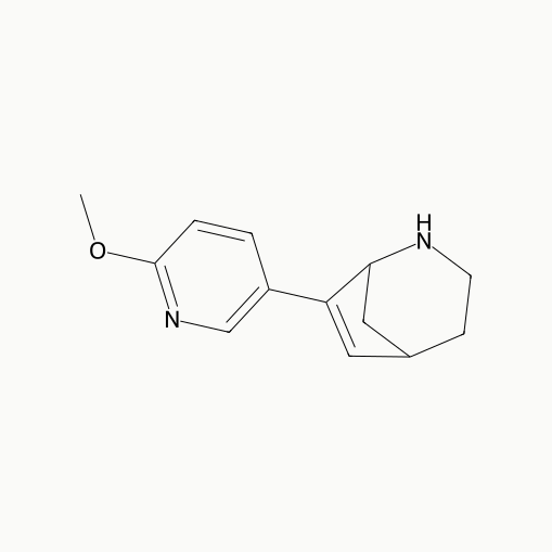 COc1ccc(C2=CC3CCNC2C3)cn1